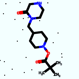 CC(C)(C)C(=O)ON1CCC(CN2CCNCC2=O)CC1